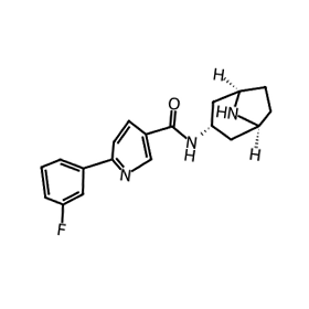 O=C(N[C@@H]1C[C@H]2CC[C@@H](C1)N2)c1ccc(-c2cccc(F)c2)nc1